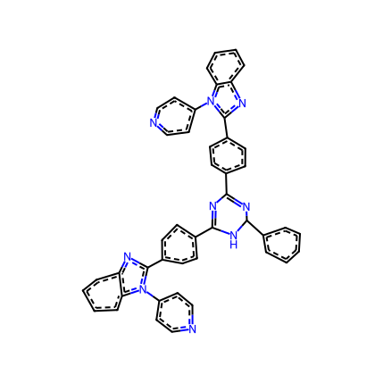 c1ccc(C2N=C(c3ccc(-c4nc5ccccc5n4-c4ccncc4)cc3)N=C(c3ccc(-c4nc5ccccc5n4-c4ccncc4)cc3)N2)cc1